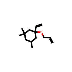 C=CCOC1(C=C)CC(C)CC(C)(C)C1